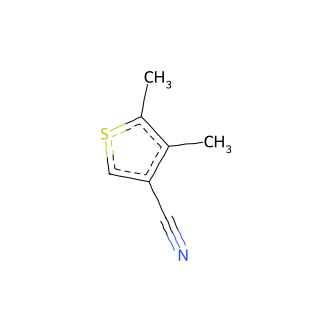 Cc1scc(C#N)c1C